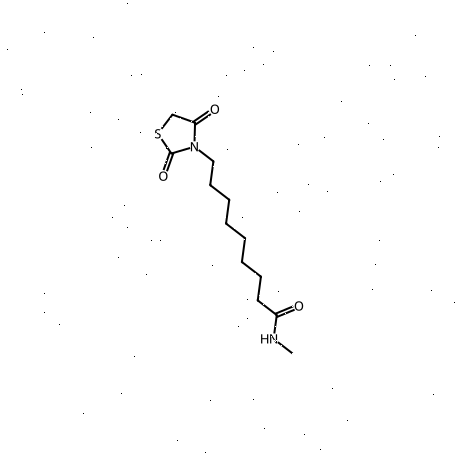 CNC(=O)CCCCCCCCN1C(=O)CSC1=O